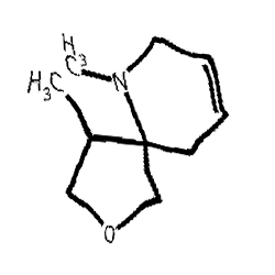 CC1COCC12CC=CCN2C